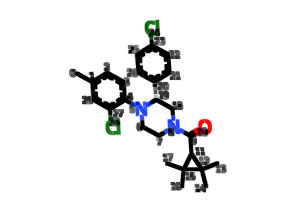 Cc1ccc(N2CCN(C(=O)C3C(C)(C)C3(C)C)C[C@H]2c2ccc(Cl)cc2)c(Cl)c1